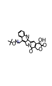 CC(C)(C)O/N=C/c1c2c(nc3ccccc13)-c1cc3c(c(=O)n1C2)COC(=O)[C@H]3O